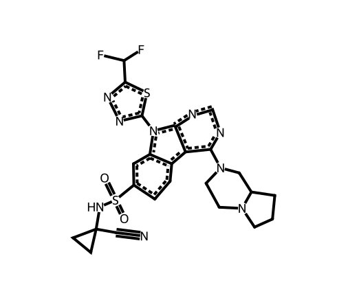 N#CC1(NS(=O)(=O)c2ccc3c4c(N5CCN6CCCC6C5)ncnc4n(-c4nnc(C(F)F)s4)c3c2)CC1